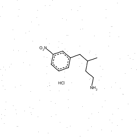 CC(CCN)Cc1cccc([N+](=O)[O-])c1.Cl